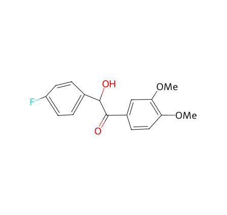 COc1ccc(C(=O)C(O)c2ccc(F)cc2)cc1OC